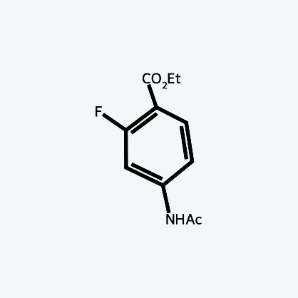 CCOC(=O)c1ccc(NC(C)=O)cc1F